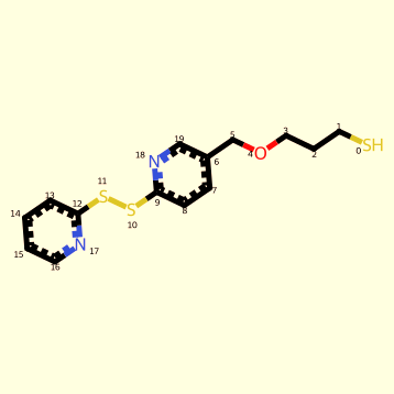 SCCCOCc1ccc(SSc2ccccn2)nc1